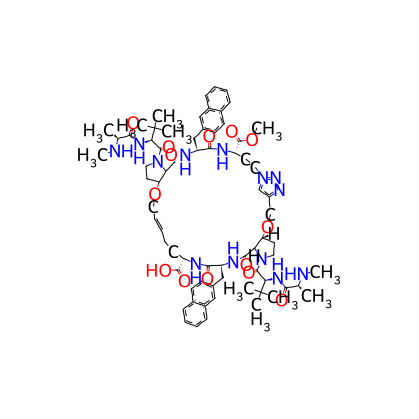 CN[C@@H](C)C(=O)N[C@H](C(=O)N1CCC2OC/C=C/CC[C@@H](C(=O)O)NC(=O)[C@H](Cc3ccc4ccccc4c3)NC(=O)[C@@H]3[C@@H](CCN3C(=O)[C@@H](NC(=O)[C@H](C)NC)C(C)(C)C)OCc3cn(nn3)CC[C@@H](C(=O)OC)NC(=O)[C@H](Cc3ccc4ccccc4c3)NC(=O)C21)C(C)(C)C